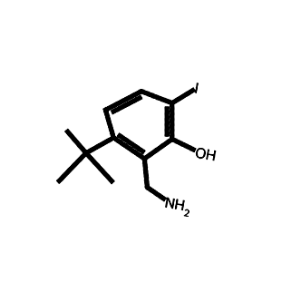 CC(C)(C)c1ccc(I)c(O)c1CN